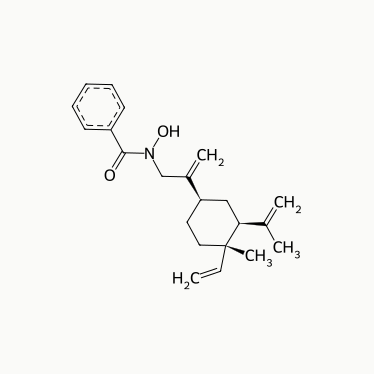 C=C[C@]1(C)CC[C@@H](C(=C)CN(O)C(=O)c2ccccc2)C[C@H]1C(=C)C